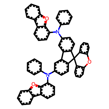 c1ccc(N(c2ccc3c(c2)-c2cc(N(c4ccccc4)c4cccc5c4oc4ccccc45)ccc2C32c3ccccc3Oc3ccccc32)c2cccc3c2oc2ccccc23)cc1